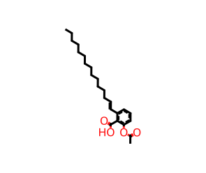 CCCCCCCCCCCCCC=Cc1cccc(OC(C)=O)c1C(=O)O